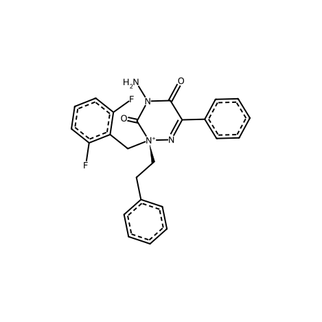 NN1C(=O)C(c2ccccc2)=N[N@+](CCc2ccccc2)(Cc2c(F)cccc2F)C1=O